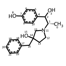 C[C@@H](C(O)c1ccc(O)cc1)N1CCC(O)(Cc2ccccc2)C1